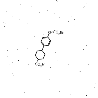 CCOC(=O)Oc1ccc(C2CCC(C(=O)O)CC2)cc1